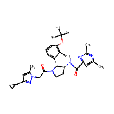 [2H]C([2H])([2H])Oc1cccc([C@@H]2[C@H](NC(=O)c3cc(C)nc(C)n3)CCN2C(=O)Cn2nc(C3CC3)cc2C(F)(F)F)c1C